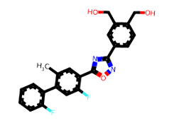 Cc1cc(-c2nc(-c3ccc(CO)c(CO)c3)no2)c(F)cc1-c1ccccc1F